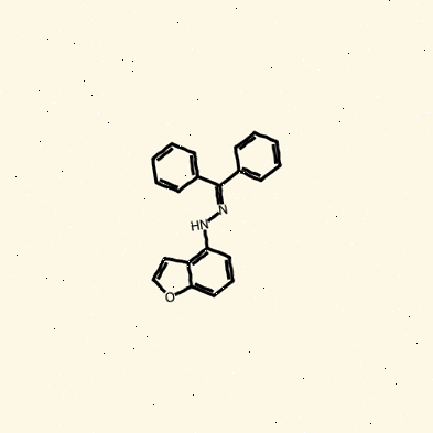 c1ccc(C(=NNc2cccc3occc23)c2ccccc2)cc1